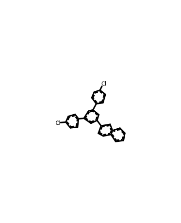 Clc1ccc(-c2cc(-c3ccc(Cl)cc3)cc(-c3ccc4ccccc4c3)c2)cc1